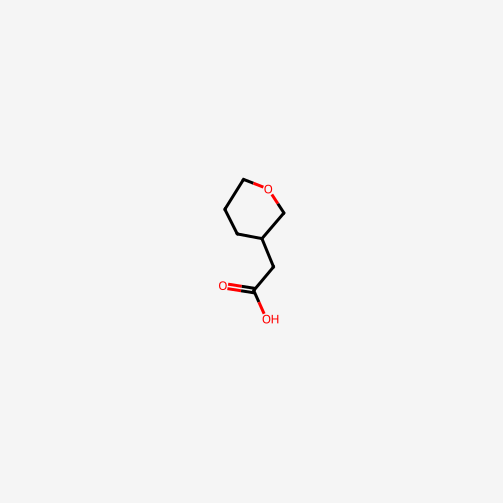 O=C(O)CC1CCCOC1